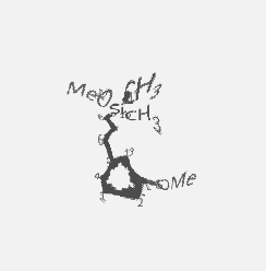 COc1[c]ccc(CCC[Si](C)(C)OC)c1